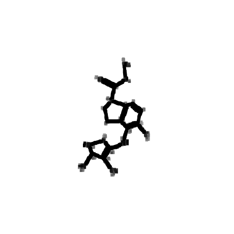 CC(C)(C)OC(=O)N1CCc2c1ccc(Cl)c2NC1=C(C#N)C(S)NS1